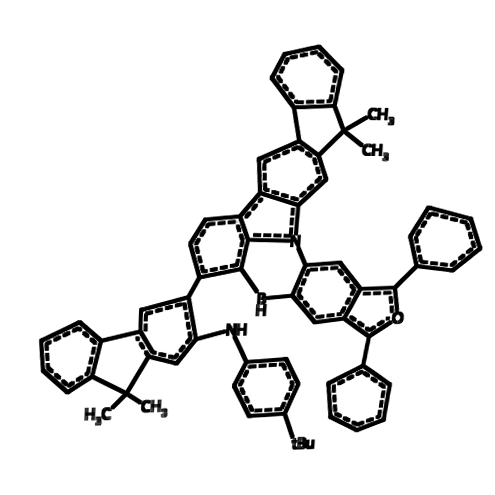 CC(C)(C)c1ccc(Nc2cc3c(cc2-c2ccc4c5cc6c(cc5n5c4c2Bc2cc4c(-c7ccccc7)oc(-c7ccccc7)c4cc2-5)C(C)(C)c2ccccc2-6)-c2ccccc2C3(C)C)cc1